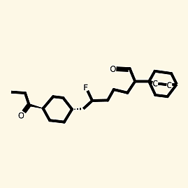 CCC(=O)[C@H]1CC[C@H](CC(F)CCCC(C=O)C23CCC(CC2)CC3)CC1